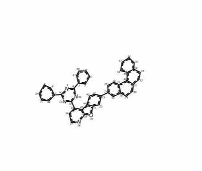 c1ccc(-c2nc(-c3ccccc3)nc(-c3ccnc4oc5cc(-c6ccc7c(ccc8ccc9ccccc9c87)c6)ccc5c34)n2)cc1